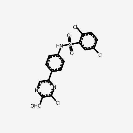 O=Cc1ncc(-c2ccc(NS(=O)(=O)c3cc(Cl)ccc3Cl)cc2)nc1Cl